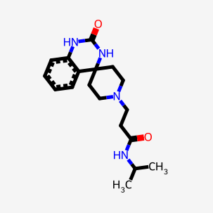 CC(C)NC(=O)CCN1CCC2(CC1)NC(=O)Nc1ccccc12